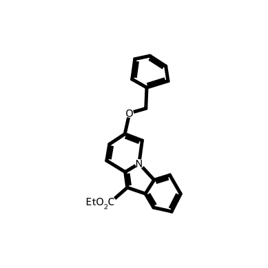 CCOC(=O)c1c2ccccc2n2cc(OCc3ccccc3)ccc12